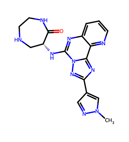 Cn1cc(-c2nc3c4ncccc4nc(N[C@@H]4CNCCNC4=O)n3n2)cn1